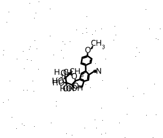 CCOc1ccc(-c2cc3c(cc2C#N)CO[C@]32OC(C)(C)C(O)(O)C(O)(O)C2(O)O)cc1